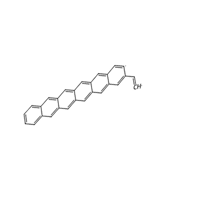 [CH]=Cc1[c]cc2cc3cc4cc5cc6ccccc6cc5cc4cc3cc2c1